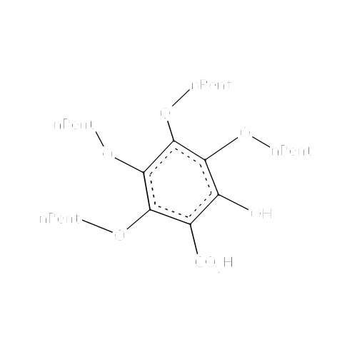 CCCCCOc1c(O)c(C(=O)O)c(OCCCCC)c(OCCCCC)c1OCCCCC